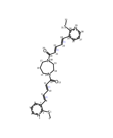 CSc1ncccc1/C=C/C=C/C(=O)N1CCCN(C(=O)/C=C/C=C/c2cccnc2SC)CC1